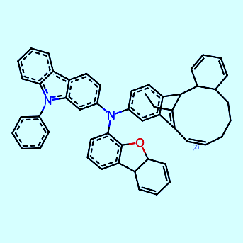 CCC1=C2/C=C\CCCC3C=CC=CC3C1c1ccc(N(c3ccc4c5ccccc5n(-c5ccccc5)c4c3)c3cccc4c3OC3C=CC=CC43)cc12